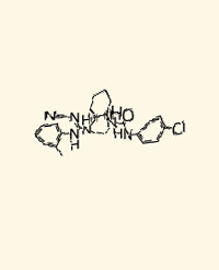 Cc1ccccc1NC(=NC#N)N1CCN(C(=O)Nc2ccc(Cl)cc2)[C@@H]2CCCC[C@@H]21